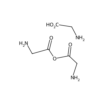 NCC(=O)O.NCC(=O)OC(=O)CN